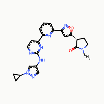 CN1CC[C@@H](c2cc(-c3cccc(-c4ccnc(Nc5cnn(C6CC6)c5)n4)n3)no2)C1=O